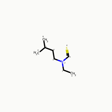 CCN(C=S)CCC(C)C